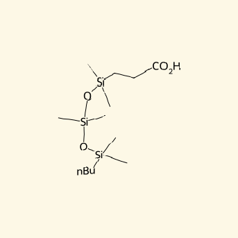 CCCC[Si](C)(C)O[Si](C)(C)O[Si](C)(C)CCC(=O)O